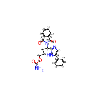 NC(=O)OCCCC(c1ncc(-c2ccccc2)[nH]1)N1C(=O)c2ccccc2C1=O